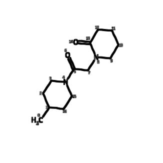 CC1CCN(C(=O)CN2CCCCC2=O)CC1